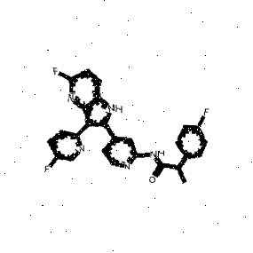 CC(C(=O)Nc1cc(-c2[nH]c3ccc(F)nc3c2-c2ccc(F)cn2)ccn1)c1ccc(F)cc1